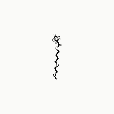 COCCOCCCCOCC1OCO1